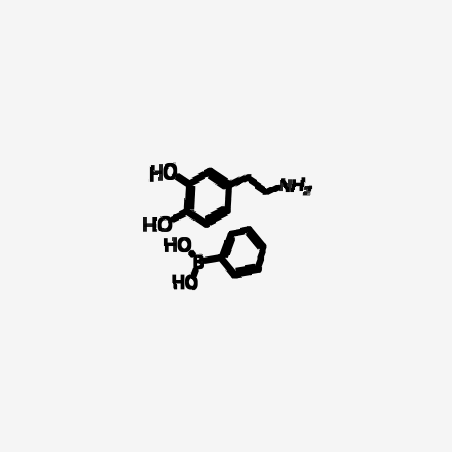 NCCc1ccc(O)c(O)c1.OB(O)c1ccccc1